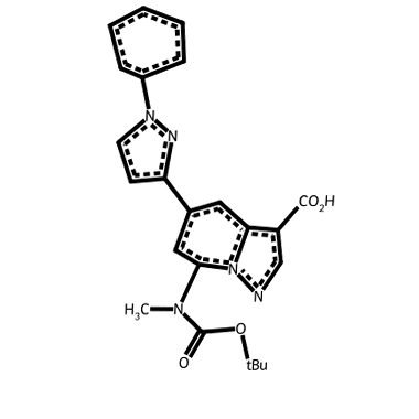 CN(C(=O)OC(C)(C)C)c1cc(-c2ccn(-c3ccccc3)n2)cc2c(C(=O)O)cnn12